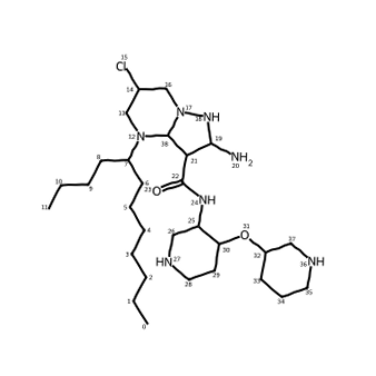 CCCCCCCC(CCCC)N1CC(Cl)CN2NC(N)C(C(=O)NC3CNCCC3OC3CCCNC3)C21